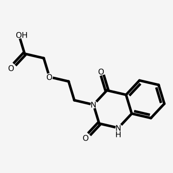 O=C(O)COCCn1c(=O)[nH]c2ccccc2c1=O